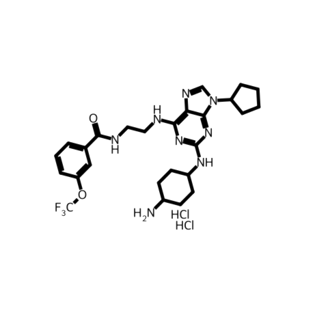 Cl.Cl.NC1CCC(Nc2nc(NCCNC(=O)c3cccc(OC(F)(F)F)c3)c3ncn(C4CCCC4)c3n2)CC1